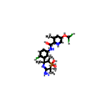 CC[C@]1(C)C(N)=N[C@](C)(c2cc(NC(=O)c3ncc(OC(F)F)cc3C)ccc2F)C(C)S1(=O)=O